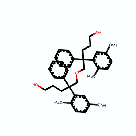 COc1ccc(OC)c(C(CCCO)(COCC(CCCO)(c2ccccc2)c2cc(OC)ccc2OC)c2ccccc2)c1